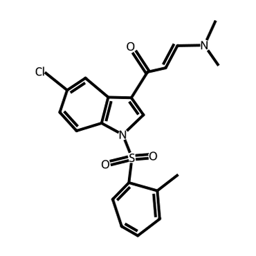 Cc1ccccc1S(=O)(=O)n1cc(C(=O)/C=C/N(C)C)c2cc(Cl)ccc21